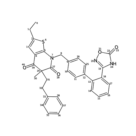 CCc1cc2c(s1)N(Cc1ccc(-c3ccccc3-c3noc(=O)[nH]3)cc1)C(=O)C(C)(CCc1ccccc1)C2=O